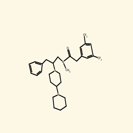 CN(CC(Cc1ccccc1)N1CCC(N2CCCCC2)CC1)C(=O)Cc1cc(C(F)(F)F)cc(C(F)(F)F)c1